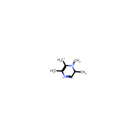 CC1=C(C)N(C)C(C)C=N1